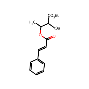 CCOC(=O)C(C(C)OC(=O)C=Cc1ccccc1)C(C)(C)C